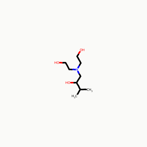 CC(C)C(O)CN(CCO)CCO